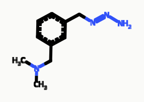 CN(C)Cc1cccc(CN=NN)c1